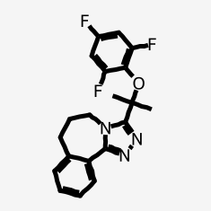 CC(C)(Oc1c(F)cc(F)cc1F)c1nnc2n1CCCc1ccccc1-2